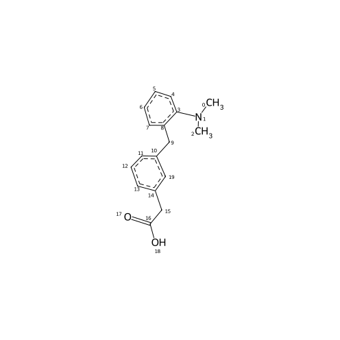 CN(C)c1ccccc1Cc1cccc(CC(=O)O)c1